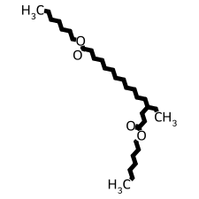 CCCCCCCOC(=O)CCCCCCCCCCCC(CC)CCC(=O)OCCCCCCC